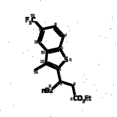 CCCCC(CC(=O)OCC)c1sc2ccc(C(F)(F)F)cc2c1C